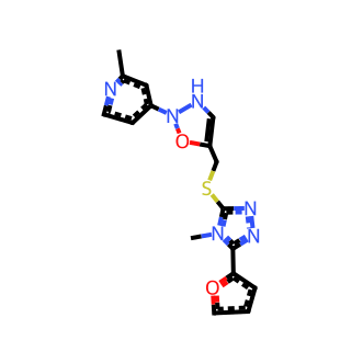 Cc1cc(N2NC=C(CSc3nnc(-c4ccco4)n3C)O2)ccn1